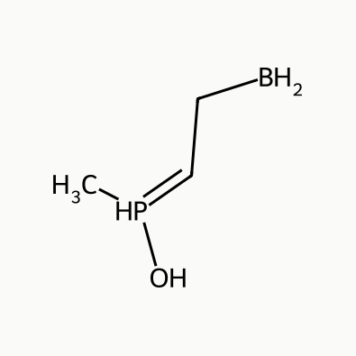 BC/C=[PH](\C)O